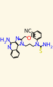 CCOCc1nc2c(N)nc3ccccc3c2n1CCCN(C(N)=S)c1cccc(C#N)c1